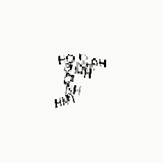 CNC(=O)CNc1cccc(C2=C(C(=O)O)N3C(=O)[C@H]([C@@H](C)O)[C@H]3C2)c1